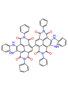 O=c1c2cc(-c3cc4c(=O)n(-c5ccccc5)c(=O)c5c6[nH]c7ccccc7[nH]c6c6c(=O)n(-c7ccccc7)c(=O)c3c6c45)c3c(=O)n(-c4ccccc4)c(=O)c4c5[nH]c6ccccc6[nH]c5c(c(=O)n1-c1ccccc1)c2c34